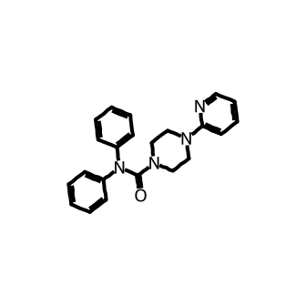 O=C(N1CCN(c2ccccn2)CC1)N(c1ccccc1)c1ccccc1